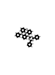 c1ccc(-c2nc(-c3ccccc3)nc(N3c4cccc5c4B4c6c(cccc6N(c6ccccc6)c6cccc3c64)O5)n2)cc1